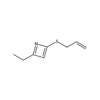 C=CCSC1=CC(CC)=N1